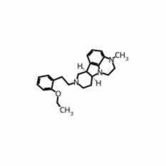 CCOc1ccccc1CCN1CC[C@H]2[C@@H](C1)c1cccc3c1N2CCN3C